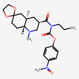 CCCN(C(=O)Oc1ccc([N+](C)=O)cc1)C(=O)[C@@H]1C[C@@H]2CC3(CC[C@H]2N(C)C1)OCCO3